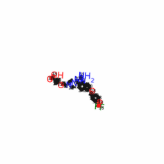 Nc1nc2c(c(N3CCN(CCO[C@H]4C[C@@H](C(=O)O)C4)CC3)n1)CCc1cc(OCc3ccc(OC(F)F)cc3)ccc1-2